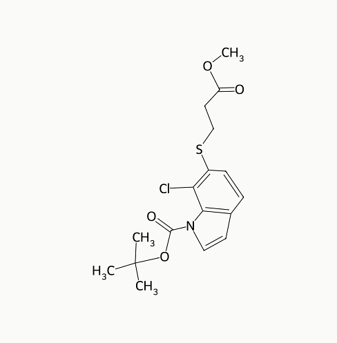 COC(=O)CCSc1ccc2ccn(C(=O)OC(C)(C)C)c2c1Cl